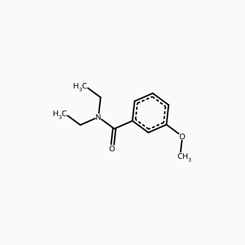 CCN(CC)C(=O)c1cccc(OC)c1